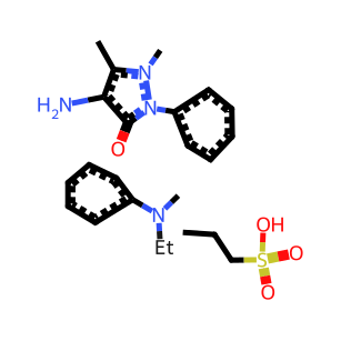 CCCS(=O)(=O)O.CCN(C)c1ccccc1.Cc1c(N)c(=O)n(-c2ccccc2)n1C